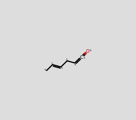 CC=CCC=C=O